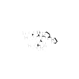 CC(C)(C)OC(=O)N(C(=O)OC(C)(C)C)c1nccc(-n2cccn2)n1